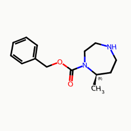 C[C@@H]1CCNCCN1C(=O)OCc1ccccc1